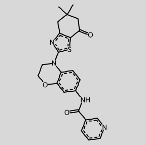 CC1(C)CC(=O)c2sc(N3CCOc4cc(NC(=O)c5cccnc5)ccc43)nc2C1